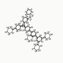 CC1(C)c2ccccc2-c2ccc(N(c3ccc(-c4ccc(-c5cc(C6CCCCC6)cc(C6CCCCC6)c5)c5c4CCCC5)cc3)c3ccc(C4CCCCC4)cc3)cc21